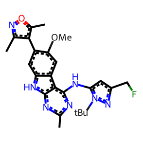 COc1cc2c(cc1-c1c(C)noc1C)[nH]c1nc(C)nc(Nc3cc(CF)nn3C(C)(C)C)c12